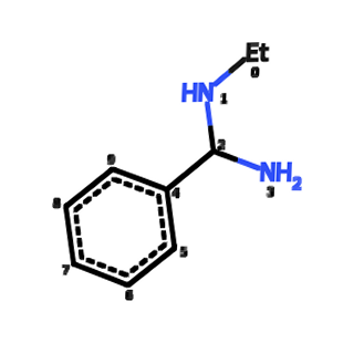 CCNC(N)c1ccccc1